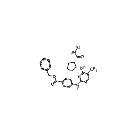 CCNC(=O)[C@H]1CCC[C@H]1Nc1nc(Nc2ccc(C(=O)OCc3ccccc3)cc2)ncc1C(F)(F)F